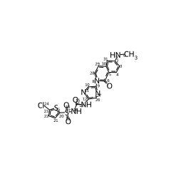 CNc1ccc2c(=O)n(-c3cnc(NC(=O)NS(=O)(=O)c4ccc(Cl)s4)cn3)ccc2c1